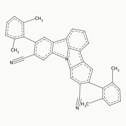 Cc1cccc(C)c1-c1cc2c3cccc4c5cc(-c6c(C)cccc6C)c(C#N)cc5n(c2cc1C#N)c34